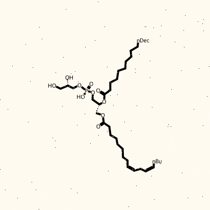 CCCC/C=C\C/C=C\CCCCCCCC(=O)OC[C@H](COP(=O)(O)OC[C@@H](O)CO)OC(=O)CCCCCCCCCCCCCCCCCCC